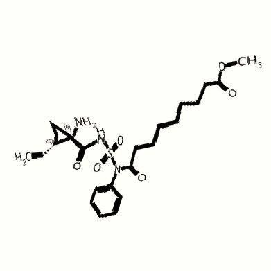 C=C[C@@H]1C[C@]1(N)C(=O)NS(=O)(=O)N(C(=O)CCCCCCCC(=O)OC)c1ccccc1